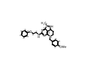 COc1ccc(CN2CCC3NN(C)c4nc(NCCOc5ccccc5)nc2c43)cc1